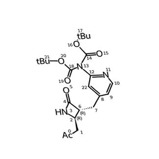 CC(=O)C[C@H]1NC(=O)[C@@H]1Cc1ccnc(N(C(=O)OC(C)(C)C)C(=O)OC(C)(C)C)c1